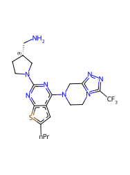 CCCc1cc2c(N3CCn4c(nnc4C(F)(F)F)C3)nc(N3CC[C@H](CN)C3)nc2s1